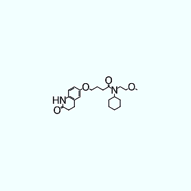 COCCN(C(=O)CCCOc1ccc2c(c1)CCC(=O)N2)C1CCCCC1